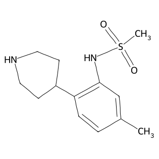 Cc1ccc(C2CCNCC2)c(NS(C)(=O)=O)c1